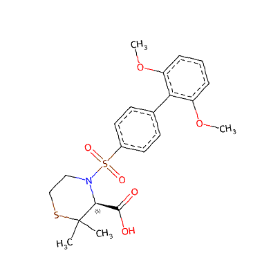 COc1cccc(OC)c1-c1ccc(S(=O)(=O)N2CCSC(C)(C)[C@@H]2C(=O)O)cc1